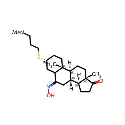 CNCCCS[C@@H]1CC[C@@]2(C)C(C1)/C(=N/O)C[C@@H]1[C@@H]2CC[C@]2(C)C(=O)CC[C@@H]12